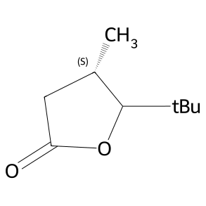 C[C@H]1CC(=O)OC1C(C)(C)C